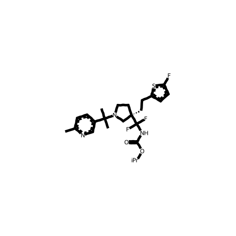 Cc1ccc(C(C)(C)N2CC[C@@](CCc3ccc(F)s3)(C(F)(F)NC(=O)OC(C)C)C2)cn1